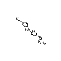 N#Cc1ccc(CNc2ccc([C@@H]3C[C@H]3N)cn2)cc1